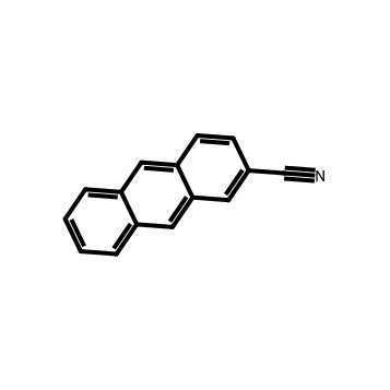 N#Cc1ccc2cc3ccccc3cc2c1